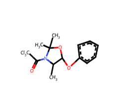 CC1C(Oc2ccccc2)OC(C)(C)N1C(=O)C(Cl)(Cl)Cl